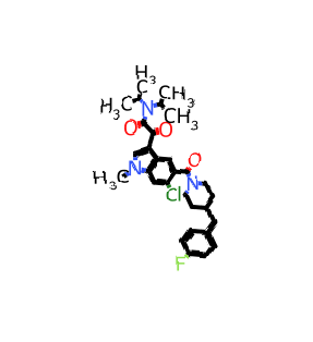 CC(C)N(C(=O)C(=O)c1cn(C)c2cc(Cl)c(C(=O)N3CCC(Cc4ccc(F)cc4)CC3)cc12)C(C)C